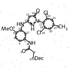 CCCCCCCCCCCC(=O)Nc1ccc(OC)c(Nc2cc(=O)n(-c3c(Cl)cc(C)cc3Cl)[nH]2)c1